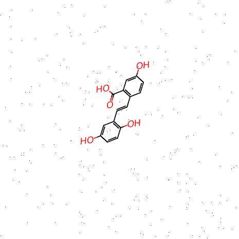 O=C(O)c1cc(O)ccc1C=Cc1cc(O)ccc1O